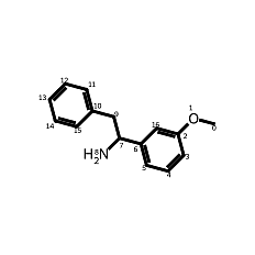 COc1cccc(C(N)Cc2ccccc2)c1